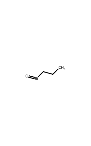 CC[CH2][Bi]=[O]